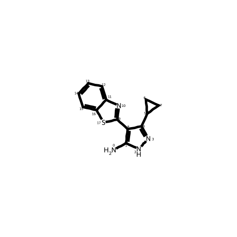 Nc1[nH]nc(C2CC2)c1-c1nc2ccccc2s1